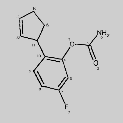 NC(=O)Oc1cc(F)ccc1C1C=CCC1